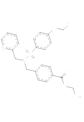 CCOC(=O)c1ccc(CN(Cc2ccccn2)S(=O)(=O)c2ccc(OCC)cc2)cc1